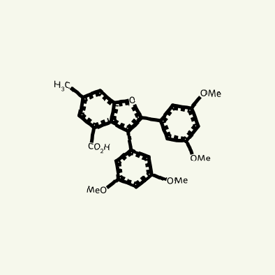 COc1cc(OC)cc(-c2oc3cc(C)cc(C(=O)O)c3c2-c2cc(OC)cc(OC)c2)c1